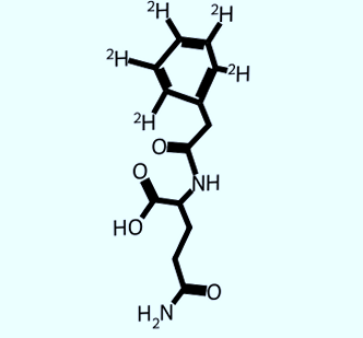 [2H]c1c([2H])c([2H])c(CC(=O)NC(CCC(N)=O)C(=O)O)c([2H])c1[2H]